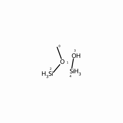 CO[SiH3].O[SiH3]